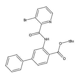 CC(C)(C)OC(=O)c1ccc(-c2ccccc2)cc1NC(=O)c1ncccc1Br